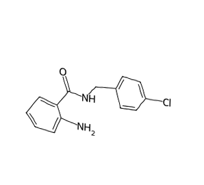 Nc1ccccc1C(=O)NCc1ccc(Cl)cc1